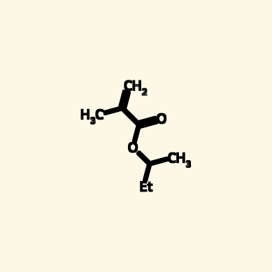 [CH2]CC(C)OC(=O)C(=C)C